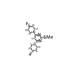 CSc1nc(-c2ccc(F)cc2)cc(-c2ccc(F)cc2)n1